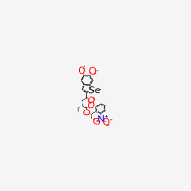 CC[C@H](CC(=O)c1cc2cc(OC)c(OC)cc2[se]1)C(=O)OC(C)c1ccccc1[N+](=O)[O-]